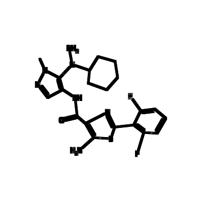 Cn1ncc(NC(=O)c2nc(-c3c(F)cccc3F)sc2N)c1N(N)C1CCCCC1